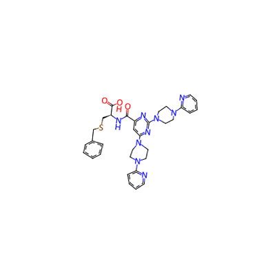 O=C(N[C@@H](CSCc1ccccc1)C(=O)O)c1cc(N2CCN(c3ccccn3)CC2)nc(N2CCN(c3ccccn3)CC2)n1